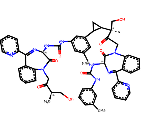 B[C@H](CO)C(=O)CN1C(=O)[C@H](NC(=O)Nc2cc(NC)cc(C3CC3[C@@](C)(CO)C(=O)CN3C(=O)[C@H](NC(=O)Nc4cccc(NC)c4)N=C(c4ccccn4)c4ccccc43)c2)N=C(c2ccccn2)c2ccccc21